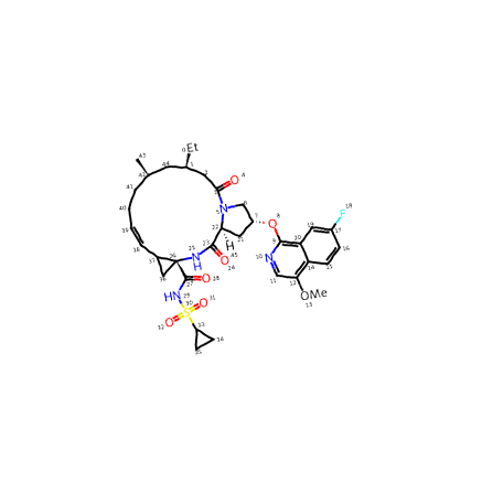 CC[C@H]1CC(=O)N2C[C@H](Oc3ncc(OC)c4ccc(F)cc34)C[C@H]2C(=O)N[C@]2(C(=O)NS(=O)(=O)C3CC3)CC2/C=C\CC[C@@H](C)C1